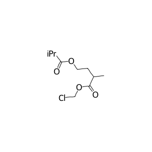 CC(C)C(=O)OCCC(C)C(=O)OCCl